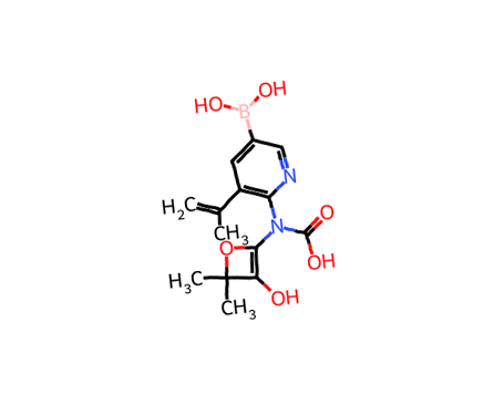 C=C(C)c1cc(B(O)O)cnc1N(C(=O)O)C1=C(O)C(C)(C)O1